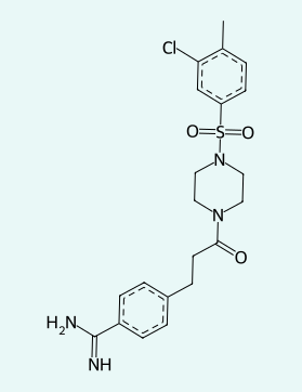 Cc1ccc(S(=O)(=O)N2CCN(C(=O)CCc3ccc(C(=N)N)cc3)CC2)cc1Cl